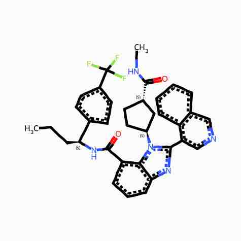 CCC[C@H](NC(=O)c1cccc2nc(-c3cncc4ccccc34)n([C@H]3CC[C@H](C(=O)NC)C3)c12)c1ccc(C(F)(F)F)cc1